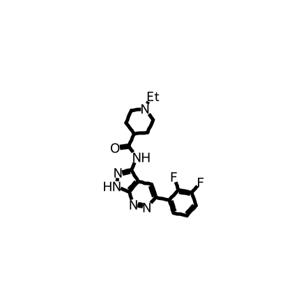 CCN1CCC(C(=O)Nc2n[nH]c3nnc(-c4cccc(F)c4F)cc23)CC1